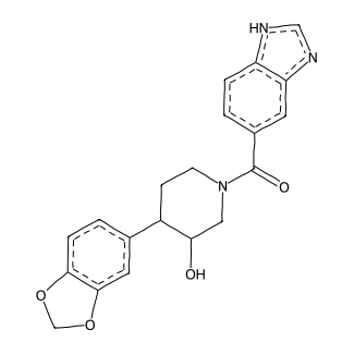 O=C(c1ccc2[nH]cnc2c1)N1CCC(c2ccc3c(c2)OCO3)C(O)C1